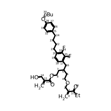 C=C(COCCC(CCOC(=O)C(=C)CO)Cc1ccc(CCCCc2ccc(OCCCC)cc2)c(F)c1F)C(=O)CC